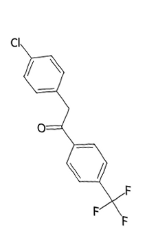 O=C(Cc1ccc(Cl)cc1)c1ccc(C(F)(F)F)cc1